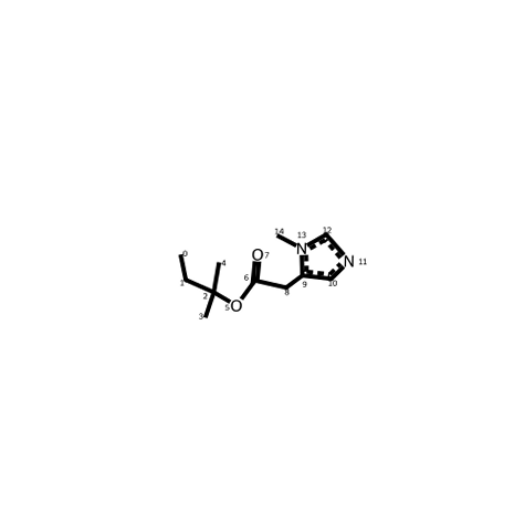 CCC(C)(C)OC(=O)Cc1cncn1C